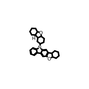 c1ccc2c(c1)c1cc3c(cc1n2C1CCC2OC4CCCC[C@H]4C2C1)C1CCCCC1O3